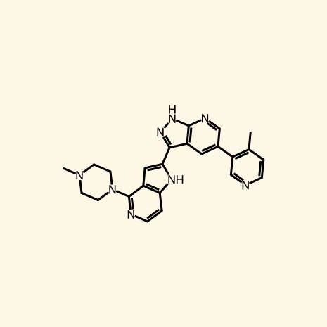 Cc1ccncc1-c1cnc2[nH]nc(-c3cc4c(N5CCN(C)CC5)nccc4[nH]3)c2c1